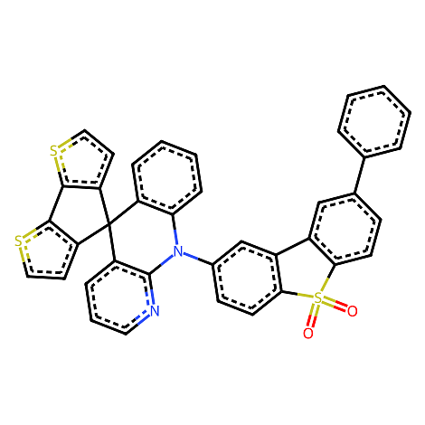 O=S1(=O)c2ccc(-c3ccccc3)cc2-c2cc(N3c4ccccc4C4(c5cccnc53)c3ccsc3-c3sccc34)ccc21